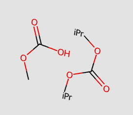 CC(C)OC(=O)OC(C)C.COC(=O)O